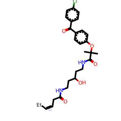 CC/C=C\CC(=O)NCCC(O)CCNC(=O)C(C)(C)Oc1ccc(C(=O)c2ccc(Cl)cc2)cc1